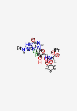 CCN(C)/C=N/c1nc2c(ncn2[C@@H]2O[C@H](COP(=O)(N[C@H](C)C(=O)OC(C)C)Oc3ccccc3)[C@@H](O)[C@]2(F)Cl)c(=O)[nH]1